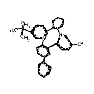 Cc1ccc2[n+](c1)-c1ccccc1-c1ccc(C(C)(C)C)c[n+]1-c1ccc(-c3ccccc3)cc1-2